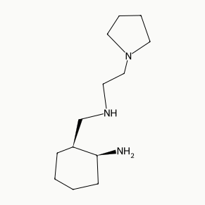 N[C@H]1CCCC[C@H]1CNCCN1CCCC1